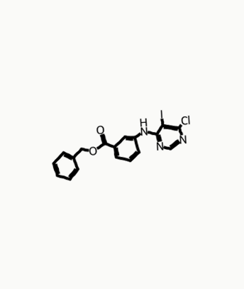 O=C(OCc1ccccc1)c1cccc(Nc2ncnc(Cl)c2I)c1